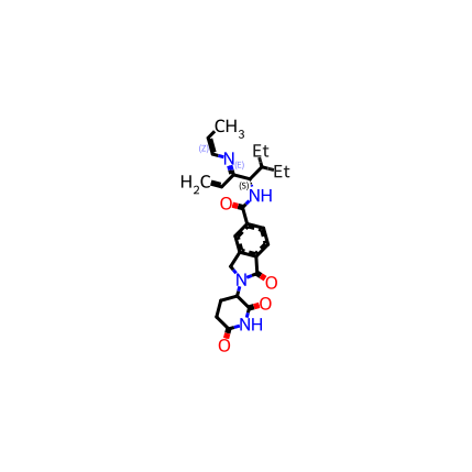 C=C/C(=N\C=C/C)[C@@H](NC(=O)c1ccc2c(c1)CN(C1CCC(=O)NC1=O)C2=O)C(CC)CC